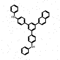 c1ccc(Nc2ccc(-c3cc(-c4ccc(Nc5ccccc5)cc4)cc(-c4ccc5ccccc5c4)c3)cc2)cc1